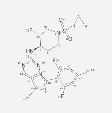 O=S(=O)(C1CC1)N1CC[C@@H](Nc2ncc3c(F)cc(-c4c(F)cc(F)cc4F)n3n2)[C@H](F)C1